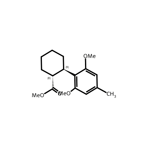 COC(=O)[C@@H]1CCCC[C@H]1c1c(OC)cc(C)cc1OC